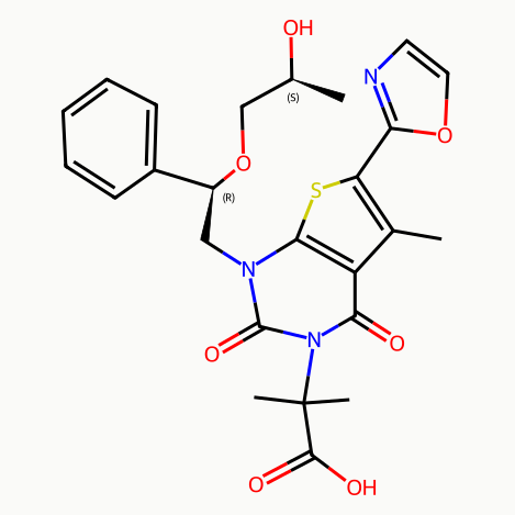 Cc1c(-c2ncco2)sc2c1c(=O)n(C(C)(C)C(=O)O)c(=O)n2C[C@H](OC[C@H](C)O)c1ccccc1